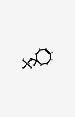 CC1(O[Si](C)(C)C)CCC=CCCC1